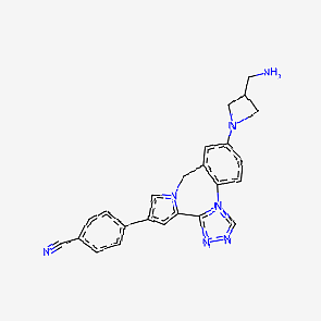 N#Cc1ccc(-c2cc3n(c2)Cc2cc(N4CC(CN)C4)ccc2-n2cnnc2-3)cc1